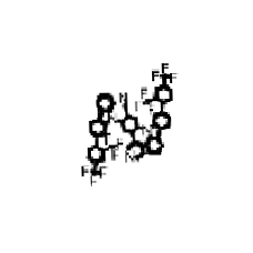 N#Cc1cc(-n2c3ccccc3c3ccc(-c4ccc(C(F)(F)F)cc4C(F)(F)F)cc32)c(-c2cccnc2)cc1-n1c2ccccc2c2ccc(-c3ccc(C(F)(F)F)cc3C(F)(F)F)cc21